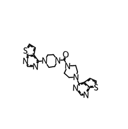 O=C(N1CCN(c2ncnc3sccc23)CC1)N1CCN(c2ncnc3sccc23)CC1